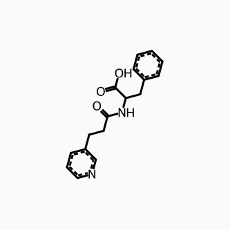 O=C(CCc1cccnc1)NC(Cc1ccccc1)C(=O)O